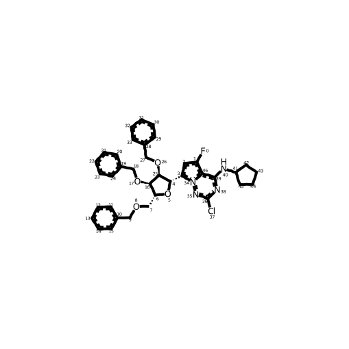 Fc1cc([C@@H]2O[C@H](COCc3ccccc3)[C@@H](OCc3ccccc3)[C@H]2OCc2ccccc2)n2nc(Cl)nc(NC3CCCC3)c12